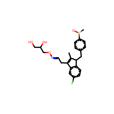 CC1=C(CC=NOCC(O)CO)c2cc(F)ccc2C1Cc1ccc([S+](C)[O-])cc1